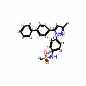 Cc1cc(-c2ccc(-c3ccccc3)cc2)n(-c2ccc(NS(C)(=O)=O)cc2)n1